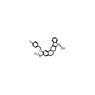 COc1cc2c(cc1OCc1ccc(F)cc1)C1Cc3c(n(CO)c4ccccc34)CN1CC2